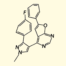 Cn1cc(-c2ncnc3oc(-c4ccccc4)cc23)c(-c2ccc(F)cc2)n1